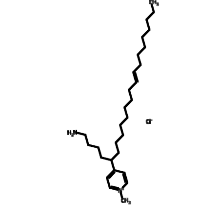 CCCCCCCCC=CCCCCCCCCC(CCCCN)c1cc[n+](C)cc1.[Cl-]